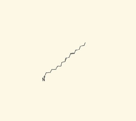 CCCCCC=CCC=CCCCCCCCC#N